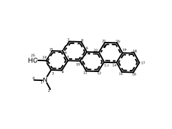 CN(C)c1cc2c(ccc3c2ccc2c4ccccc4ccc23)cc1O